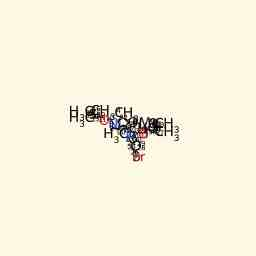 COc1cc(C)c2c(ccn2COCC[Si](C)(C)C)c1C(C)(C=O)N1Cc2cc(Br)ccc2C1COCC[Si](C)(C)C